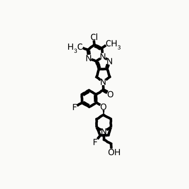 Cc1nc2c3c(nn2c(C)c1Cl)CN(C(=O)c1ccc(F)cc1O[C@H]1CC2CC(F)C(C1)N2CCO)C3